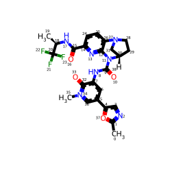 Cc1ncc(-c2cc(NC(=O)N3c4nc(C(=O)N[C@H](C)C(F)(F)F)ccc4N4CC[C@H]3C4)c(=O)n(C)c2)o1